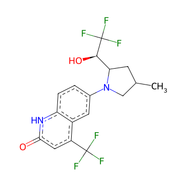 CC1CC([C@@H](O)C(F)(F)F)N(c2ccc3[nH]c(=O)cc(C(F)(F)F)c3c2)C1